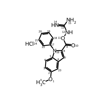 COc1ccc2c([c]c(C(=O)ONC(=N)N)n2-c2ccccc2)c1.Cl